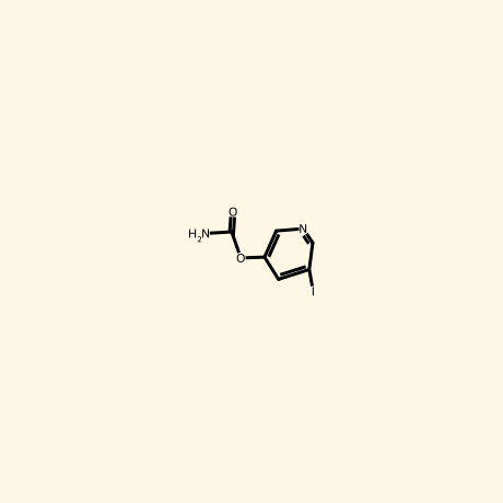 NC(=O)Oc1cncc(I)c1